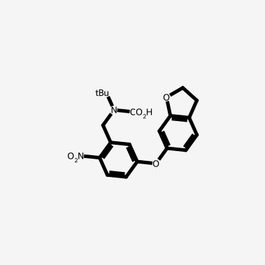 CC(C)(C)N(Cc1cc(Oc2ccc3c(c2)OCC3)ccc1[N+](=O)[O-])C(=O)O